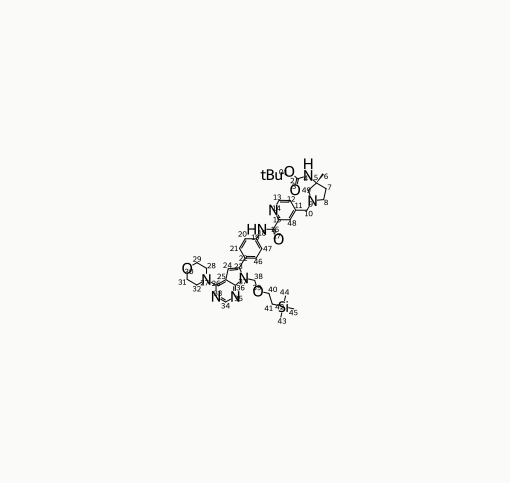 CC(C)(C)OC(=O)N[C@]1(C)CCN(Cc2ccnc(C(=O)Nc3ccc(-c4cc5c(N6CCOCC6)ncnc5n4COCC[Si](C)(C)C)cc3)c2)C1